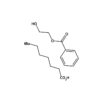 CC(C)(C)CCCCCC(=O)O.O=C(OCCO)c1ccccc1